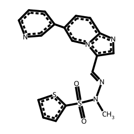 CN(N=Cc1cnc2ccc(-c3cccnc3)cn12)S(=O)(=O)c1cccs1